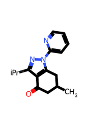 CC1CC(=O)c2c(C(C)C)nn(-c3ccccn3)c2C1